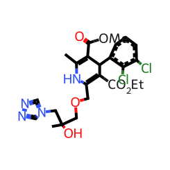 CCOC(=O)C1=C(COCC(C)(O)Cn2cnnc2)NC(C)=C(C(=O)OC)C1c1cccc(Cl)c1Cl